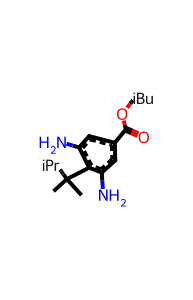 CCC(C)OC(=O)c1cc(N)c(C(C)(C)C(C)C)c(N)c1